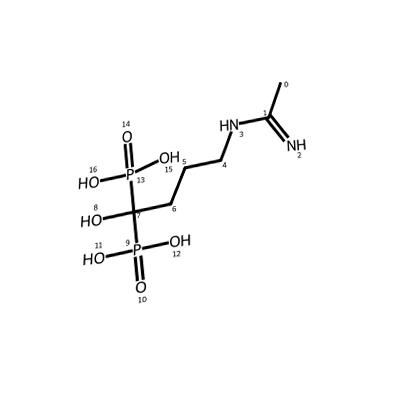 CC(=N)NCCCC(O)(P(=O)(O)O)P(=O)(O)O